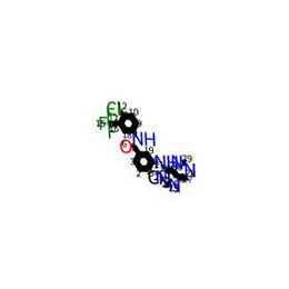 Cc1ccc(C(=O)Nc2ccc(Cl)c(C(F)(F)F)c2)cc1Nc1ncnc2cncnc12